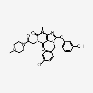 CN1CCN(C(=O)Cn2c(=O)c3c(nc(Oc4cccc(O)c4)n3Cc3ccc(Cl)cc3)n(C)c2=O)CC1